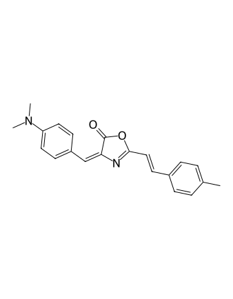 Cc1ccc(C=CC2=NC(=Cc3ccc(N(C)C)cc3)C(=O)O2)cc1